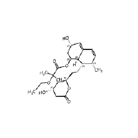 CCOC(C)(C)C(=O)O[C@H]1C[C@H](O)C=C2C=C[C@H](C)[C@H](CC[C@@H]3C[C@@H](O)CC(=O)O3)[C@H]21